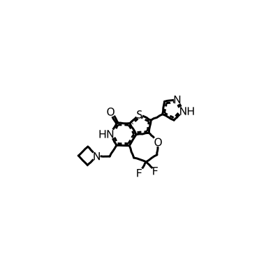 O=c1[nH]c(CN2CCC2)c2c3c(c(-c4cn[nH]c4)sc13)OCC(F)(F)C2